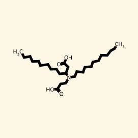 CCCCCCCCCCCCN(CCC(=O)O)C(CCCCCCCCCC)CC(=O)O